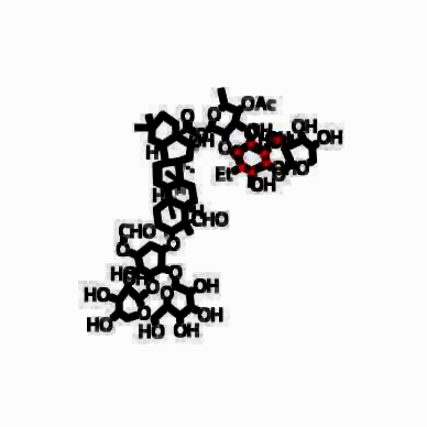 CCC1OC(OC2C(OC(C)=O)C(C)OC(OC(=O)[C@]34CCC(C)(C)C[C@H]3C3C=C[C@@H]5[C@@]6(C)CC[C@H](OC7CC(OC=O)C(O)C(OC8OCC(O)C(O)C8O)C7OC7OC(CO)C(O)C(O)C7O)[C@@](C)(C=O)[C@@H]6CC[C@@]5(C)[C@]3(C)C[C@H]4O)C2OC2CC(C)C(OC3OCC(O)C(O)C3O)C(O)C2O)C(O)C(O)C1O